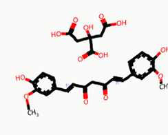 COc1cc(/C=C/C(=O)CC(=O)/C=C/c2ccc(O)c(OC)c2)ccc1O.O=C(O)CC(O)(CC(=O)O)C(=O)O